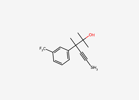 CC(C)(O)C(C)(C#C[SiH3])c1cccc(C(F)(F)F)c1